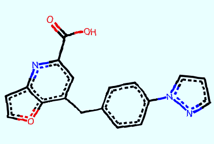 O=C(O)c1cc(Cc2ccc(-n3cccn3)cc2)c2occc2n1